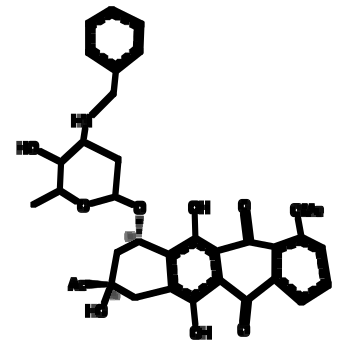 COc1cccc2c1C(=O)c1c(O)c3c(c(O)c1C2=O)C[C@@](O)(C(C)=O)C[C@@H]3OC1CC(NCc2ccccc2)C(O)C(C)O1